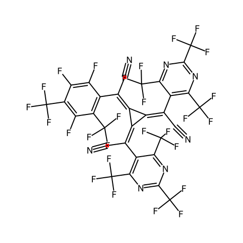 N#CC(=C1C(=C(/C#N)c2c(C(F)(F)F)nc(C(F)(F)F)nc2C(F)(F)F)/C1=C(/C#N)c1c(F)c(F)c(C(F)(F)F)c(F)c1C(F)(F)F)c1c(C(F)(F)F)nc(C(F)(F)F)nc1C(F)(F)F